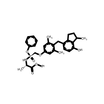 Cc1cc(OC[P@@](=O)(N[C@@H](C)C(=O)OC(C)C)Oc2ccccc2)cc(C)c1Cc1ccc(O)c2c1CCC2C